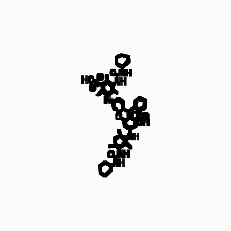 Cc1cc(C)c(Nc2ccc3c(-c4ccccc4S(=O)(=O)O)c4cc/c(=N\c5c(C)c(NC(=O)NC6CCCCC6)c(C)c(S(=O)(=O)O)c5C)cc-4oc3c2)c(C)c1NC(=O)NC1CCCCC1